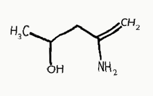 C=C(N)CC(C)O